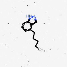 CCCCCc1cccc2[nH]n[c]c12